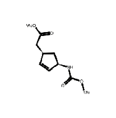 COC(=O)C[C@@H]1C=C[C@H](NC(=O)OC(C)(C)C)C1